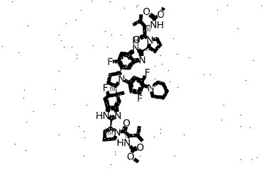 COC(=O)N[C@H](C(=O)N1CCC[C@H]1c1nc2c([nH]1)=CC(F)C(C)([C@@H]1CC[C@H](c3cc4nc([C@@H]5CCCN5C(=O)[C@@H](NC(=O)OC)C(C)C)[nH]c4cc3F)N1c1cc(F)c(N3CCCCC3)c(F)c1)C=2)C(C)C